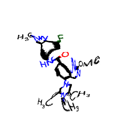 COc1ncc2c(N3C[C@@H](C)N(C)[C@@H](C)C3)ccc(C(=O)Nc3cc(F)c4nn(C)cc4c3)c2n1